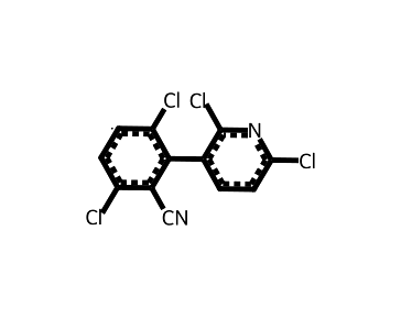 N#Cc1c(Cl)c[c]c(Cl)c1-c1ccc(Cl)nc1Cl